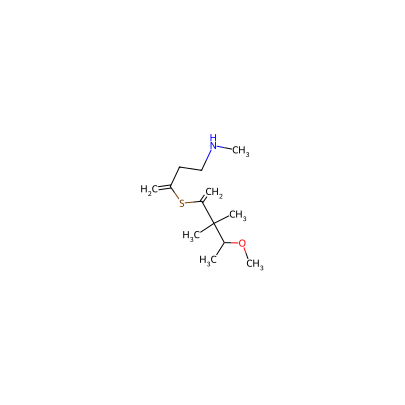 C=C(CCNC)SC(=C)C(C)(C)C(C)OC